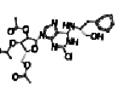 CC(=O)OC[C@H]1O[C@@H](n2cnc3c2N=C(Cl)NC3N[C@@H](CO)Cc2ccccc2)[C@H](OC(C)=O)[C@@H]1OC(C)=O